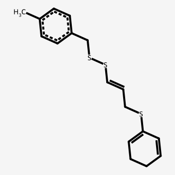 Cc1ccc(CSS/C=C/CSC2=CCCC=C2)cc1